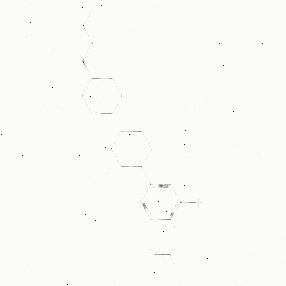 CCCC[C@H]1CC[C@H](C2CCC(c3ccc(OC(F)F)c(F)c3)CC2)CC1